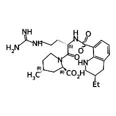 CCC1CNc2c(cccc2S(=O)(=O)N[C@@H](CCCNC(=N)N)C(=O)N2CC[C@@H](C)C[C@@H]2C(=O)O)C1